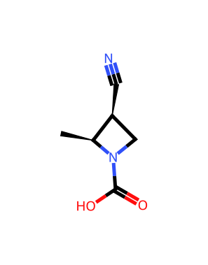 C[C@H]1[C@@H](C#N)CN1C(=O)O